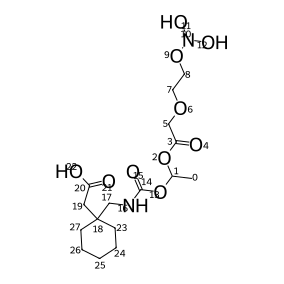 CC(OC(=O)COCCON(O)O)OC(=O)NCC1(CC(=O)O)CCCCC1